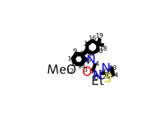 CCN(C(=O)Cn1c2c(c3ccc(OC)cc31)CCC(C)(C)C2)c1nccs1